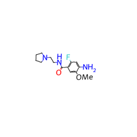 COc1cc(C(=O)NCCN2CCCC2)c(F)cc1N